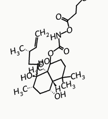 C=C[C@@H](C)CC(=O)[C@@]1(O)[C@@H](C)C[C@@H](O)[C@H]2C(C)(C)CC[C@@](O)(OC(=O)NOC(=O)CCCl)[C@@]21C